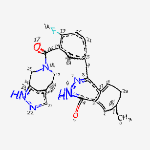 C[C@H]1C=c2c(=O)[nH]nc(Cc3ccc(F)c(C(=O)N4Cc5cn[nH]c5C4)c3)c2=CC1